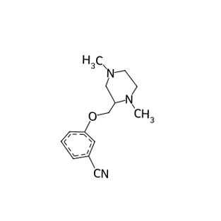 CN1CCN(C)C(COc2cccc(C#N)c2)C1